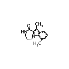 Cc1c2n(c3c(C)cccc13)CCCNC2=O